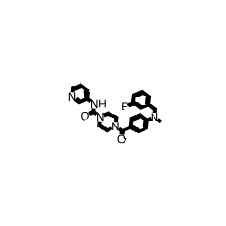 CN(Cc1cccc(F)c1)c1ccc(C(=O)N2CCN(C(=O)Nc3cccnc3)CC2)cc1